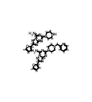 Nc1nc(N2CCN(Cc3ccccn3)CC2)nc2nc(-c3ccco3)nn12.Nc1nc(N2CCNCC2)nc2nc(-c3ccco3)nn12